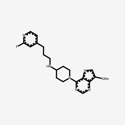 CSc1csc2c(N3CCC(NCCCc4ccnc(F)c4)CC3)ncnc12